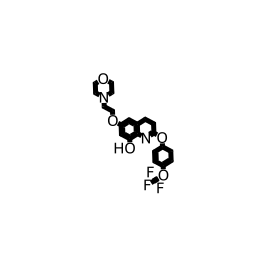 Oc1cc(OCCN2CCOCC2)cc2c1N=C(OC1C=CC(OC(F)(F)F)=CC1)CC2